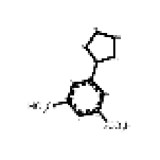 O=C(O)c1cc(C(=O)O)cc(C2CCCC2)c1